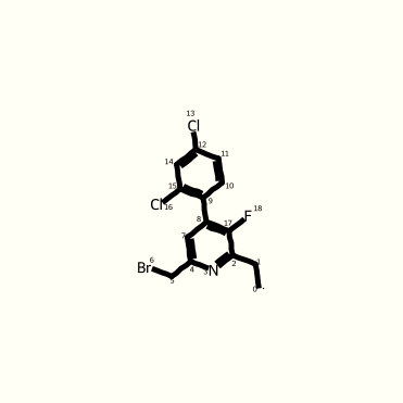 [CH2]Cc1nc(CBr)cc(-c2ccc(Cl)cc2Cl)c1F